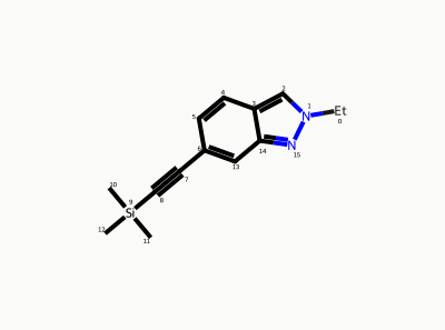 CCn1cc2ccc(C#C[Si](C)(C)C)cc2n1